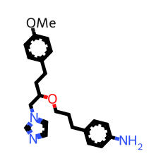 COc1ccc(CCC(Cn2ccnc2)OCCCc2ccc(N)cc2)cc1